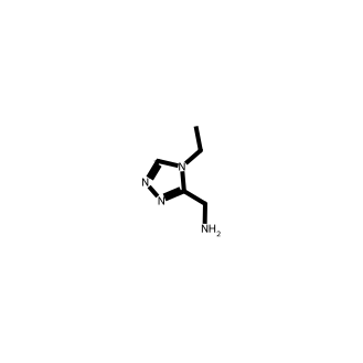 CCn1[c]nnc1CN